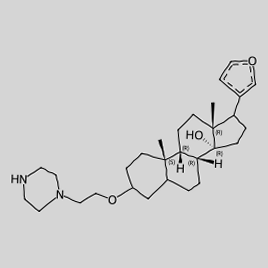 C[C@]12CCC(OCCN3CCNCC3)CC1CC[C@@H]1[C@H]2CC[C@]2(C)C(c3ccoc3)CC[C@@]12O